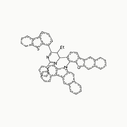 CCC1C(c2cccc3c2sc2ccccc23)=NC(c2ccccc2)=NC1c1ccc2c(oc3cc4ccccc4cc32)c1-n1c2cc3ccccc3cc2c2c3ccccc3ccc21